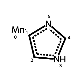 [Mn].c1c[nH]cn1